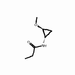 CCC(=O)N[C@H]1C[C@@H]1OC